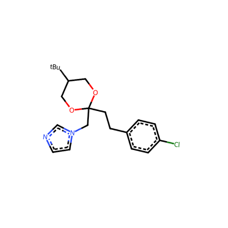 CC(C)(C)C1COC(CCc2ccc(Cl)cc2)(Cn2ccnc2)OC1